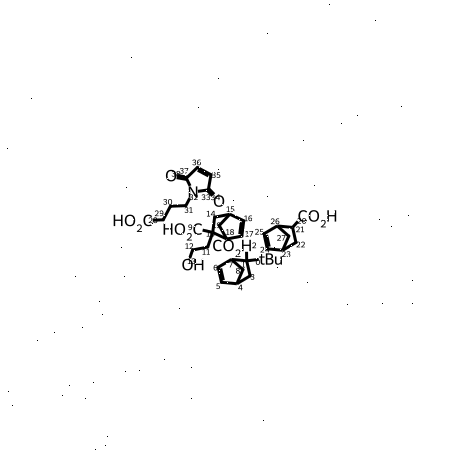 CC(C)(C)C1(C(=O)O)CC2C=CC1C2.O=C(O)C1(CCO)CC2C=CC1C2.O=C(O)C1CC2C=CC1C2.O=C(O)CCCN1C(=O)C=CC1=O